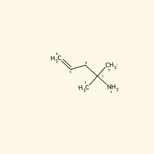 [CH2]C(C)(N)CC=C